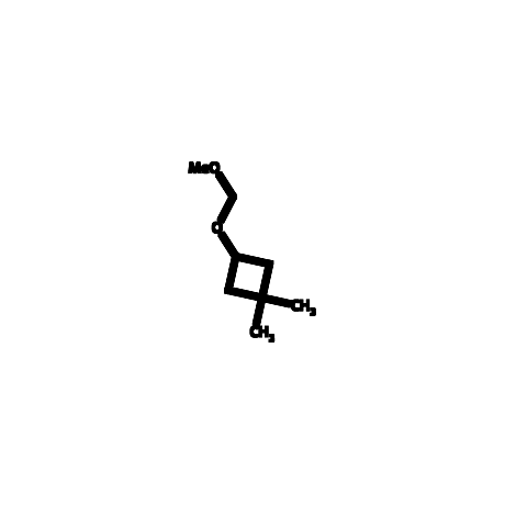 COCOC1CC(C)(C)C1